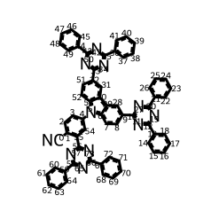 N#Cc1ccc(-n2c3ccc(-c4nc(-c5ccccc5)nc(-c5ccccc5)n4)cc3c3cc(-c4nc(-c5ccccc5)nc(-c5ccccc5)n4)ccc32)cc1-c1nc(-c2ccccc2)nc(-c2ccccc2)n1